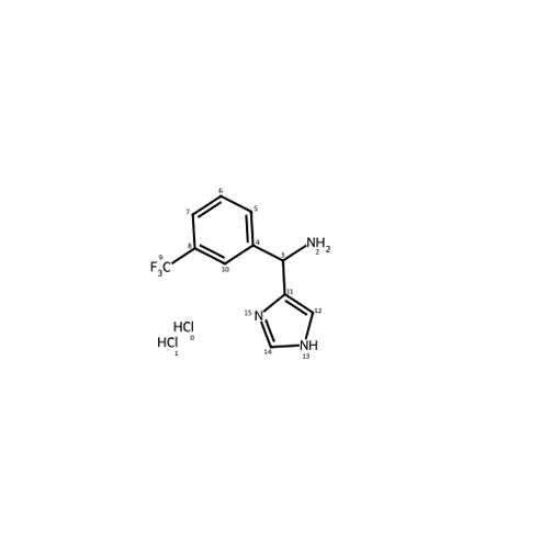 Cl.Cl.NC(c1cccc(C(F)(F)F)c1)c1c[nH]cn1